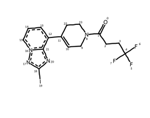 O=C(CCC(F)(F)F)N1CC=C(c2cccn3nc(I)nc23)CC1